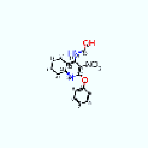 O=[N+]([O-])c1c(Oc2ccccc2)nc2c(c1NCO)CCCC2